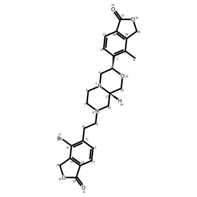 Cc1c([C@@H]2CN3CCN(CCc4ccc5c(c4Br)COC5=O)C[C@H]3CO2)ccc2c1COC2=O